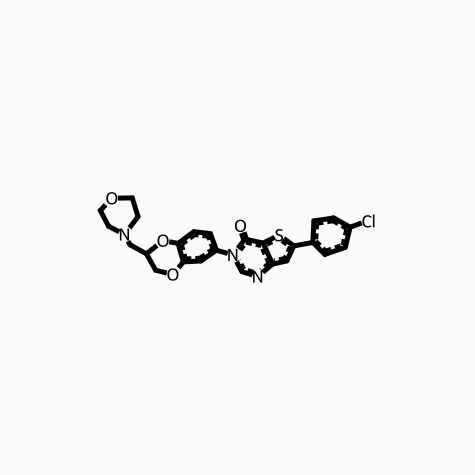 O=c1c2sc(-c3ccc(Cl)cc3)cc2ncn1-c1ccc2c(c1)OCC(CN1CCOCC1)O2